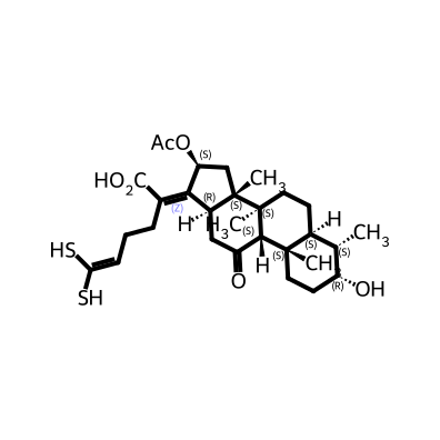 CC(=O)O[C@H]1C[C@@]2(C)[C@@H](CC(=O)[C@H]3[C@@]4(C)CC[C@@H](O)[C@@H](C)[C@@H]4CC[C@@]32C)/C1=C(\CCC=C(S)S)C(=O)O